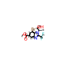 COC(=O)c1cc(Br)c2c(c1)nc(C(F)F)n2[C@H](C)CO